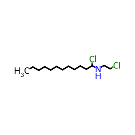 CCCCCCCCCCCC(Cl)NCCCl